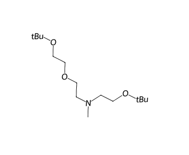 CN(CCOCCOC(C)(C)C)CCOC(C)(C)C